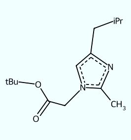 Cc1nc(CC(C)C)cn1CC(=O)OC(C)(C)C